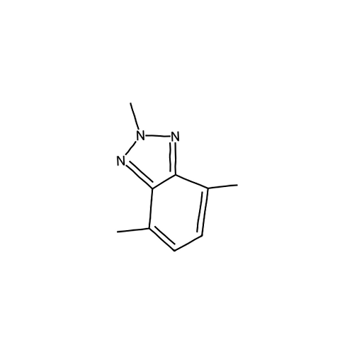 Cc1ccc(C)c2nn(C)nc12